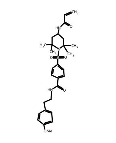 C=CC(=O)NC1CC(C)(C)N(S(=O)(=O)c2ccc(C(=O)NCCc3ccc(OC)cc3)cc2)C(C)(C)C1